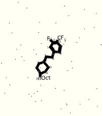 CCCCCCCCC1CCC(CCc2ccc(C(F)(F)F)c(F)c2)CC1